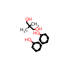 CC(C)(CO)CO.Oc1ccccc1.Oc1ccccc1